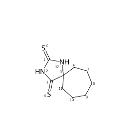 S=C1NC(=S)C2(CCCCCC2)N1